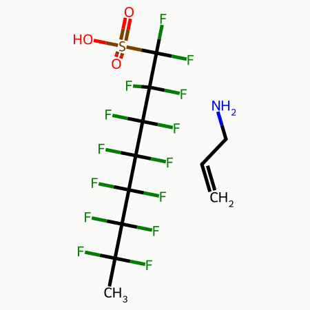 C=CCN.CC(F)(F)C(F)(F)C(F)(F)C(F)(F)C(F)(F)C(F)(F)C(F)(F)S(=O)(=O)O